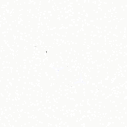 CN1CC2CC1CN2CC(C)(C)C